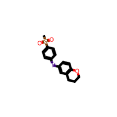 CS(=O)(=O)c1ccc([I+]c2ccc3c(c2)CCCO3)cc1